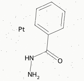 NNC(=O)c1ccccc1.[Pt]